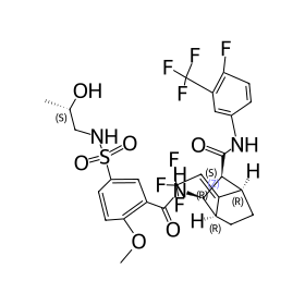 COc1ccc(S(=O)(=O)NC[C@H](C)O)cc1C(=O)N[C@H]1[C@@H](C(=O)Nc2ccc(F)c(C(F)(F)F)c2)[C@H]2CC[C@@H]1/C2=C\C(F)(F)F